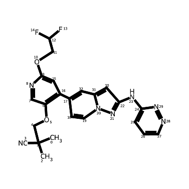 CC(C)(C#N)COc1cnc(OCC(F)F)cc1-c1ccn2nc(Nc3cccnn3)cc2c1